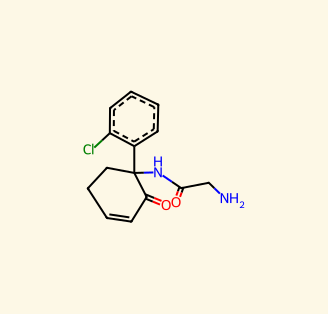 NCC(=O)NC1(c2ccccc2Cl)CCC=CC1=O